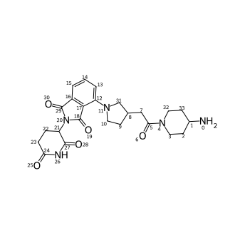 NC1CCN(C(=O)CC2CCN(c3cccc4c3C(=O)N(C3CCC(=O)NC3=O)C4=O)C2)CC1